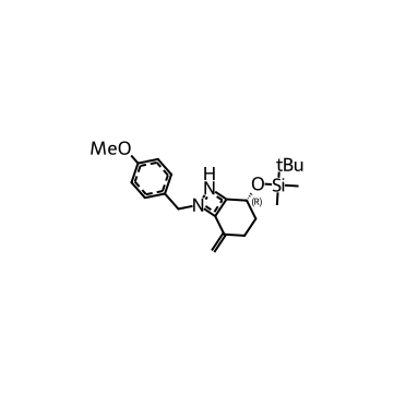 C=C1CC[C@@H](O[Si](C)(C)C(C)(C)C)c2[nH]n(Cc3ccc(OC)cc3)c21